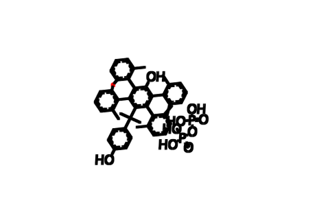 Cc1cccc(C)c1-c1c(O)c(-c2c(C)cccc2C)c(-c2c(C)cccc2C)c(C(C)(C)c2ccc(O)cc2)c1-c1c(C)cccc1C.O=P(O)(O)OP(=O)(O)O